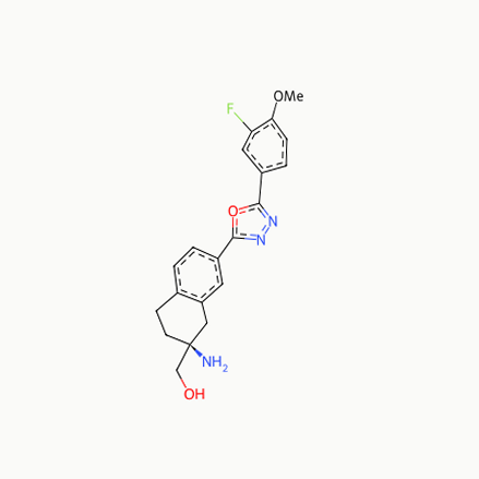 COc1ccc(-c2nnc(-c3ccc4c(c3)C[C@](N)(CO)CC4)o2)cc1F